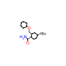 CC(C)(C)c1ccc(C(N)=O)c(COc2ccccc2)c1